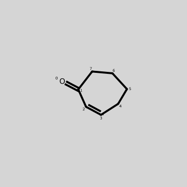 O=C1C=[C]CCCC1